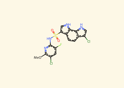 COc1nc(NS(=O)(=O)c2c[nH]c3c2ccc2c(Cl)c[nH]c23)c(F)cc1Cl